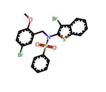 COc1ccc(Br)cc1CN(c1sc2ccccc2c1Br)S(=O)(=O)c1ccccc1